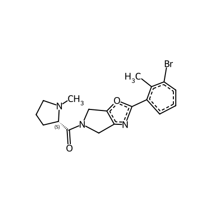 Cc1c(Br)cccc1-c1nc2c(o1)CN(C(=O)[C@@H]1CCCN1C)C2